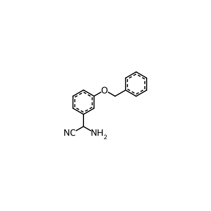 N#CC(N)c1cccc(OCc2ccccc2)c1